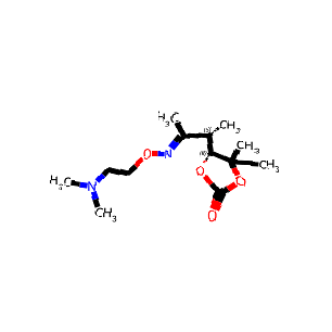 CC(=NOCCN(C)C)[C@H](C)[C@H]1OC(=O)OC1(C)C